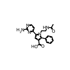 CC(=O)NCCn1c(-c2ccnc(N)n2)cc(C(=O)O)c1-c1ccccc1